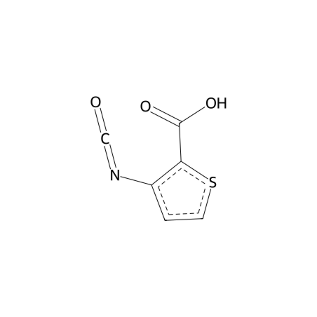 O=C=Nc1ccsc1C(=O)O